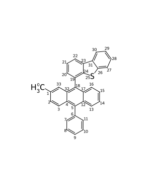 Cc1ccc2c(-c3ccccc3)c3ccccc3c(-c3cccc4c3sc3ccccc34)c2c1